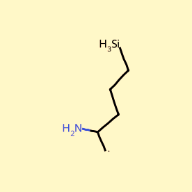 [CH2]C(N)CCC[SiH3]